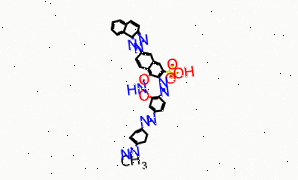 CN=NC1=CC=C(N=Nc2ccc3c(c2)ONOc2c(c(S(=O)(=O)O)cc4cc(-n5nc6ccc7ccccc7c6n5)ccc24)N=N3)CC1